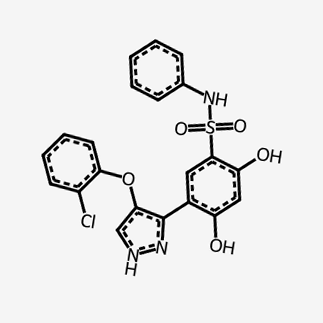 O=S(=O)(Nc1ccccc1)c1cc(-c2n[nH]cc2Oc2ccccc2Cl)c(O)cc1O